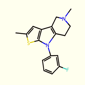 Cc1cc2c3c(n(-c4cccc(F)c4)c2s1)CCN(C)C3